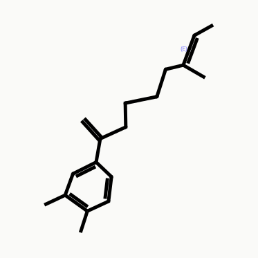 C=C(CCCC/C(C)=C/C)c1ccc(C)c(C)c1